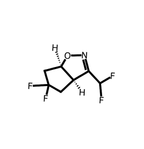 FC(F)C1=NO[C@@H]2CC(F)(F)C[C@H]12